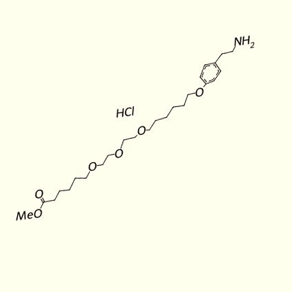 COC(=O)CCCCCOCCOCCOCCCCCCOc1ccc(CCN)cc1.Cl